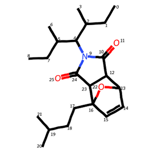 CCC(C)C(C(C)CC)N1C(=O)C2C3C=CC(CCC(C)C)(O3)C2C1=O